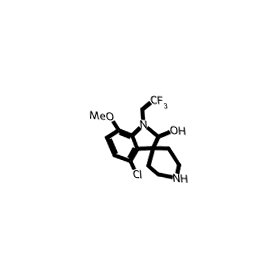 COc1ccc(Cl)c2c1N(CC(F)(F)F)C(O)C21CCNCC1